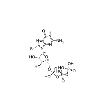 Nc1nc2c(nc(Br)n2[C@@H]2O[C@H](COP(=O)(O)OP(=O)(O)OP(=O)(O)O)C(O)C2O)c(=O)[nH]1